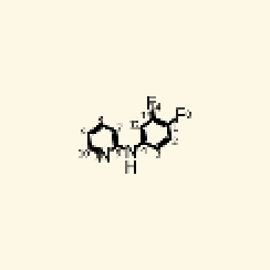 Fc1ccc(Nc2ccccn2)cc1F